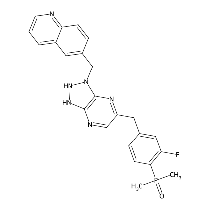 CP(C)(=O)c1ccc(Cc2cnc3c(n2)N(Cc2ccc4ncccc4c2)NN3)cc1F